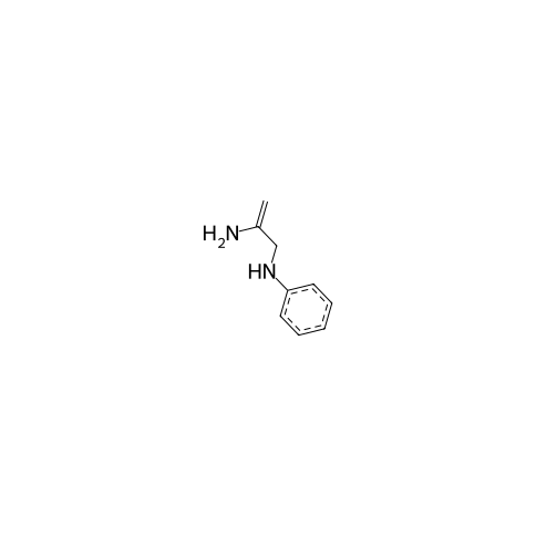 C=C(N)CNc1ccccc1